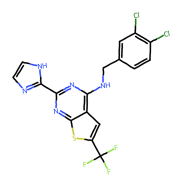 FC(F)(F)c1cc2c(NCc3ccc(Cl)c(Cl)c3)nc(-c3ncc[nH]3)nc2s1